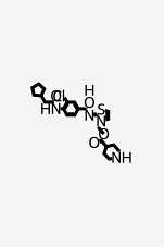 O=C(CC1CCCC1)Nc1ccc(C(O)N=c2sccn2COC(=O)C2CCNCC2)cc1Cl